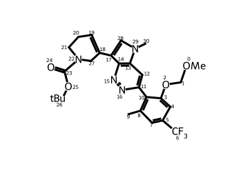 COCOc1cc(C(F)(F)F)cc(C)c1-c1cc2c(nn1)c(C1=CCCN(C(=O)OC(C)(C)C)C1)cn2C